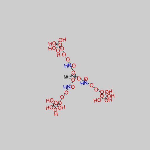 CNC(COCCC(=O)NCCOCCOCCO[C@H]1OC(CO)[C@@H](O)C(O)C1O)(COCCC(=O)NCCOCCOCCO[C@H]1OC(CO)[C@@H](O)C(O)C1O)COCCC(=O)NCCOCCOCCO[C@H]1OC(CO)[C@@H](O)C(O)C1O